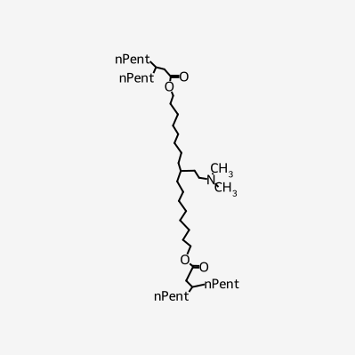 CCCCCC(CCCCC)CC(=O)OCCCCCCCCC(CCCCCCCCOC(=O)CC(CCCCC)CCCCC)CCN(C)C